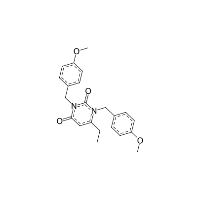 CCc1cc(=O)n(Cc2ccc(OC)cc2)c(=O)n1Cc1ccc(OC)cc1